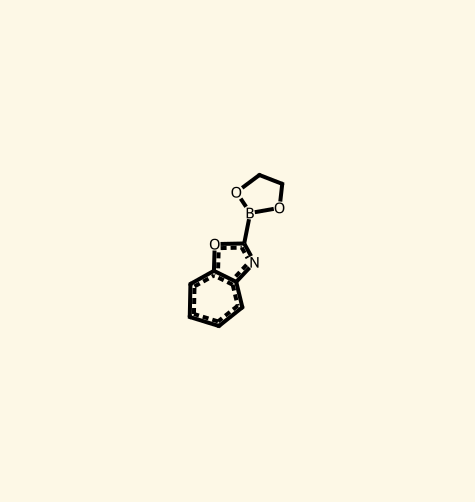 c1ccc2oc(B3OCCO3)nc2c1